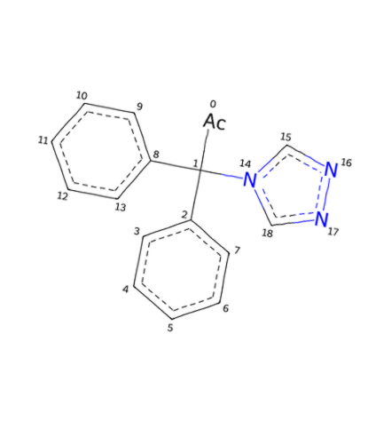 CC(=O)C(c1ccccc1)(c1ccccc1)n1cnnc1